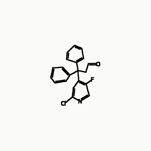 O=CCC(c1ccccc1)(c1ccccc1)c1cc(Cl)ncc1F